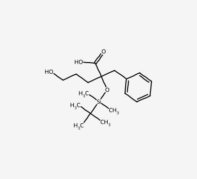 CC(C)(C)[Si](C)(C)OC(CCCO)(Cc1ccccc1)C(=O)O